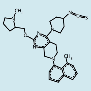 Cc1cccc2cccc(N3CCc4c(nc(OCC5CCCN5C)nc4N4CCC(N=C=S)CC4)C3)c12